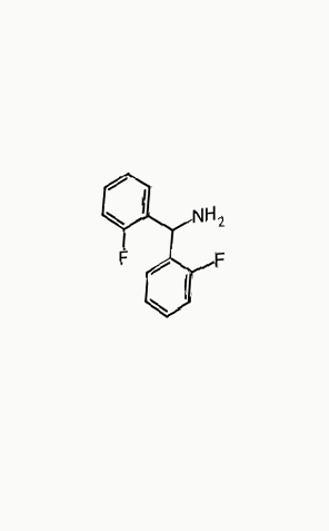 NC(c1ccccc1F)c1ccccc1F